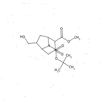 COC(=O)C1C(=O)CC2C(CO)CC1N2C(=O)OC(C)(C)C